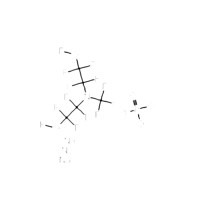 FOC(F)(F)C(F)(F)N(C(F)(F)C(F)(F)F)C(F)(F)C(F)(F)OF.O=P([O-])([O-])[O-].[Na+].[Na+].[Na+]